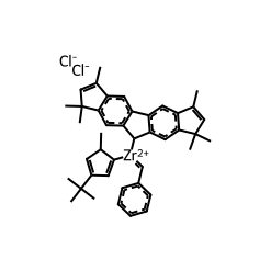 CC1=CC(C)(C)c2cc3c(cc21)-c1cc2c(cc1[CH]3/[Zr+2](=[CH]/c1ccccc1)[C]1=CC(C(C)(C)C)=CC1C)C(C)(C)C=C2C.[Cl-].[Cl-]